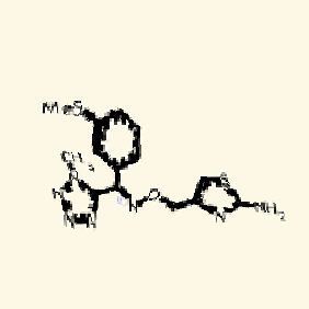 CSc1cccc(/C(=N\OCc2csc(N)n2)c2nnnn2C)c1